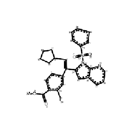 COC(=O)c1ccc(C(=CC2CCCC2)c2cc3cccnc3n2S(=O)(=O)c2ccccc2)cc1F